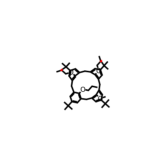 CCCOc1c2cc(C(C)(C)C)cc1Cc1cc(C(C)(C)C)cc(c1OCCC)Cc1cc(C(C)(C)C)cc(c1OCCC)Cc1cc(C(C)(C)C)cc(c1OC)C2